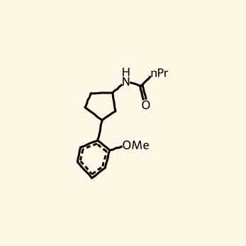 CCCC(=O)NC1CCC(c2ccccc2OC)C1